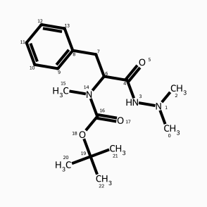 CN(C)NC(=O)C(Cc1ccccc1)N(C)C(=O)OC(C)(C)C